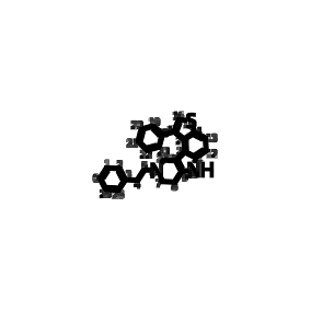 c1ccc(CCN2CCc3[nH]c4ccc5scc(-c6ccccc6)c5c4c3C2)cc1